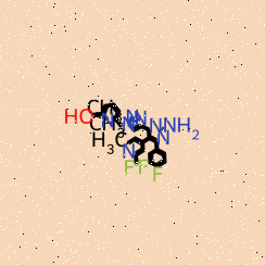 Cc1cc(-c2c(-c3ccc(F)cc3)nc(N)nc2-c2cn(Cc3cccc(C(C)(C)O)n3)nn2)cc(C(F)F)n1